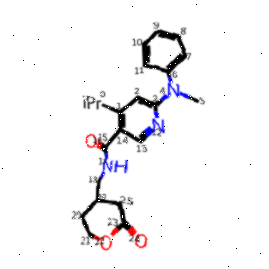 CC(C)c1cc(N(C)c2ccccc2)ncc1C(=O)NCC1CCOC(=O)C1